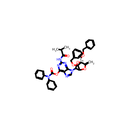 C=C1OC2C(n3cnc4c(OC(=O)N(c5ccccc5)c5ccccc5)nc(NC(=O)C(C)C)nc43)O[C@]1(COCc1ccccc1)C2OCc1ccccc1